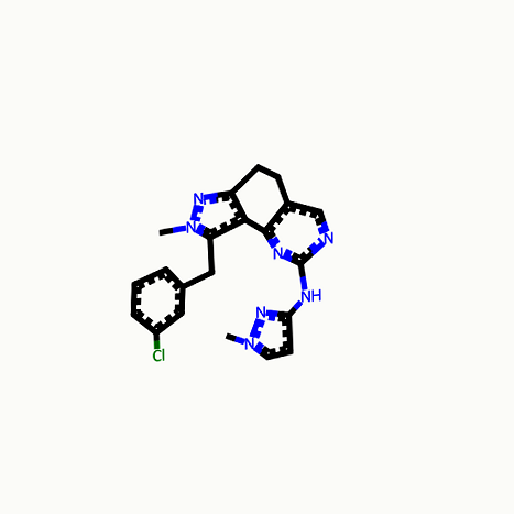 Cn1ccc(Nc2ncc3c(n2)-c2c(nn(C)c2Cc2cccc(Cl)c2)CC3)n1